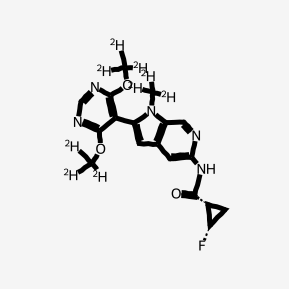 [2H]C([2H])([2H])Oc1ncnc(OC([2H])([2H])[2H])c1-c1cc2cc(NC(=O)[C@@H]3C[C@@H]3F)ncc2n1C([2H])([2H])[2H]